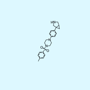 Cc1ccc(S(=O)(=O)N2CCN(c3ccc(C45CNCC4C5)cc3)CC2)cc1